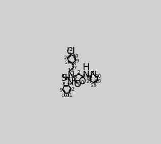 O=C(CC1C(=O)N(c2ccccc2)C(=S)N1CCc1ccc(Cl)cc1)Nc1ccccn1